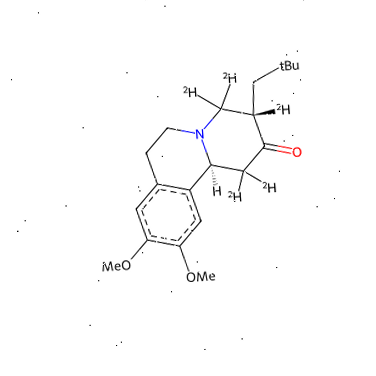 [2H]C1([2H])C(=O)[C@@]([2H])(CC(C)(C)C)C([2H])([2H])N2CCc3cc(OC)c(OC)cc3[C@@H]21